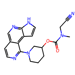 CN(CC#N)C(=O)OC1CCCN(c2nccc3cnc4[nH]ccc4c23)C1